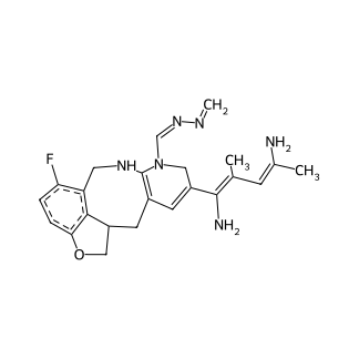 C=N/N=C\N1CC(/C(N)=C(C)/C=C(/C)N)=CC2=C1NCc1c(F)ccc3c1C(CO3)C2